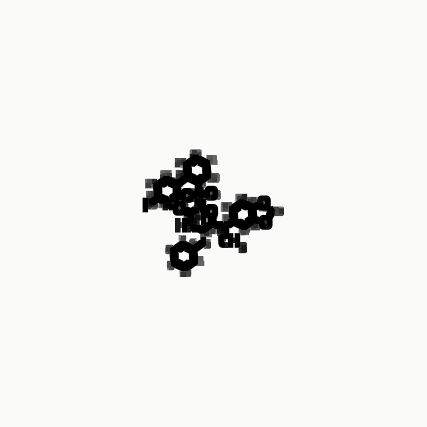 CN(C(=O)[C@H](Cc1ccccc1)NC(=O)NS(=O)(=O)c1ccccc1-c1ccc(F)nc1)c1ccc2c(c1)OCO2